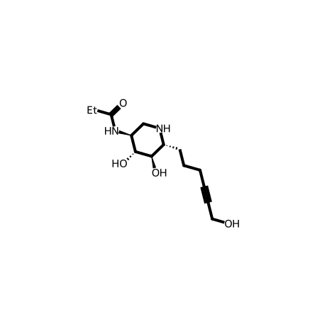 CCC(=O)N[C@H]1CN[C@H](CCCC#CCO)[C@@H](O)[C@@H]1O